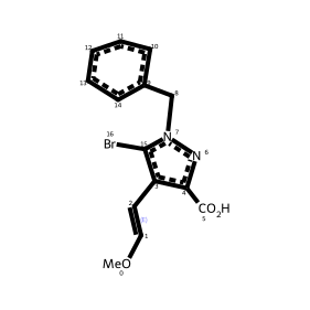 CO/C=C/c1c(C(=O)O)nn(Cc2ccccc2)c1Br